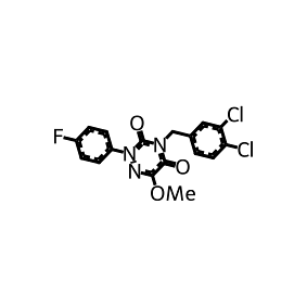 COc1nn(-c2ccc(F)cc2)c(=O)n(Cc2ccc(Cl)c(Cl)c2)c1=O